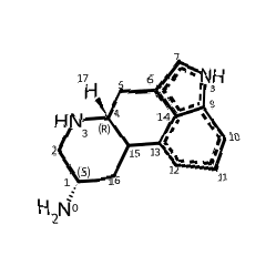 N[C@@H]1CN[C@@H]2Cc3c[nH]c4cccc(c34)C2C1